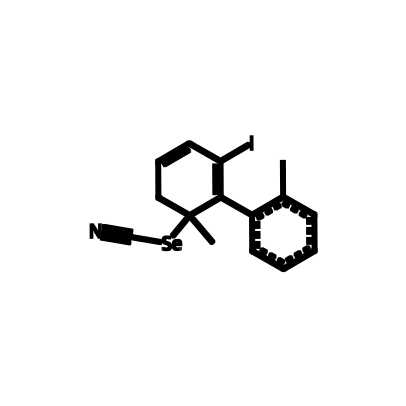 Cc1ccccc1C1=C(I)C=CCC1(C)[Se]C#N